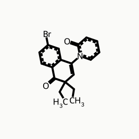 CCC1(CC)C=C(n2ccccc2=O)c2cc(Br)ccc2C1=O